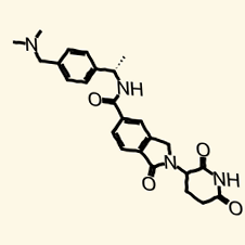 C[C@H](NC(=O)c1ccc2c(c1)CN(C1CCC(=O)NC1=O)C2=O)c1ccc(CN(C)C)cc1